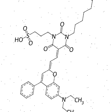 CCN(CC)c1ccc2c(c1)OC(=CC=C1C(=O)N(CCCCCC(=O)O)C(=O)N(CCCS(=O)(=O)O)C1=O)C=C2c1ccccc1